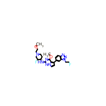 COCCN1CC[C@@H](Nc2nc(OC)c3c(-c4ccc5nnn(CCF)c5c4)ccn3n2)[C@@H](F)C1